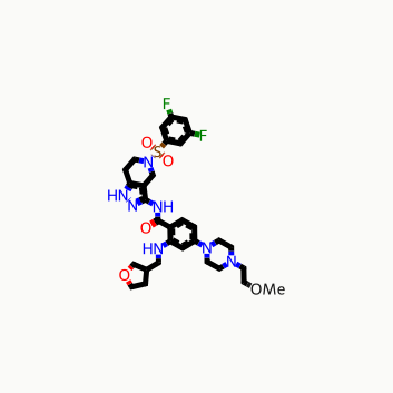 COCCN1CCN(c2ccc(C(=O)Nc3n[nH]c4c3CN(S(=O)(=O)c3cc(F)cc(F)c3)CC4)c(NCC3CCOC3)c2)CC1